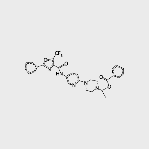 CC(OC(=O)c1ccccc1)N1CCN(c2ccc(NC(=O)c3nc(-c4ccccc4)oc3C(F)(F)F)cn2)CC1